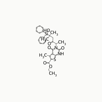 CCOC(=O)c1sc2[nH]c(=O)n(C(C)C(=O)CC(C)(C)[Si](O)(c3ccccc3)c3ccccc3)c(=O)c2c1C